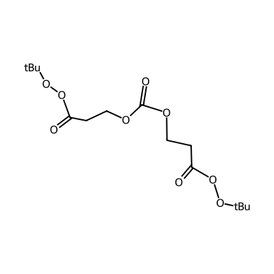 CC(C)(C)OOC(=O)CCOC(=O)OCCC(=O)OOC(C)(C)C